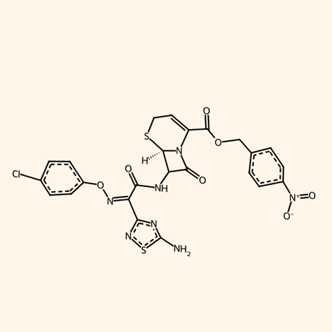 Nc1nc(/C(=N/Oc2ccc(Cl)cc2)C(=O)NC2C(=O)N3C(C(=O)OCc4ccc([N+](=O)[O-])cc4)=CCS[C@H]23)ns1